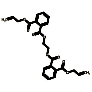 C=CCOC(=O)c1ccccc1C(=O)OCCOC(=O)c1ccccc1C(=O)OCC=C